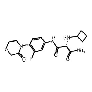 NC(=O)[C@@H](NC1CCC1)C(=O)Nc1ccc(N2CCOCC2=O)c(F)c1